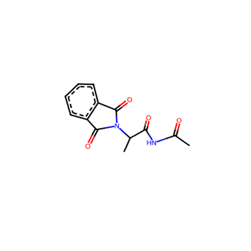 CC(=O)NC(=O)C(C)N1C(=O)c2ccccc2C1=O